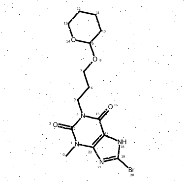 Cn1c(=O)n(CCCOC2CCCCO2)c(=O)c2[nH]c(Br)nc21